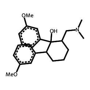 COc1cccc(C2CCCC(CN(C)C)C2(O)c2cccc(OC)c2)c1